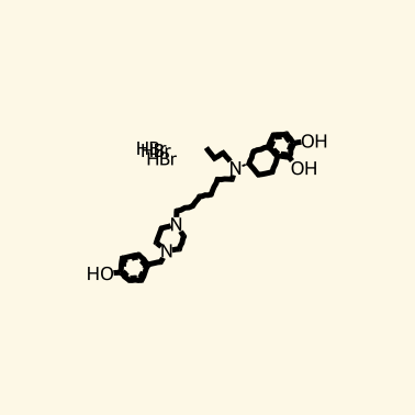 Br.Br.Br.CCCN(CCCCCCN1CCN(Cc2ccc(O)cc2)CC1)[C@H]1CCc2c(ccc(O)c2O)C1